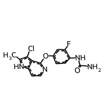 Cc1[nH]c2ccnc(Oc3ccc(NC(N)=O)c(F)c3)c2c1Cl